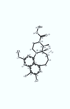 CCSc1nc2c3c(nc(Cl)c(F)c3n1)CC[C@@H](C)[C@H]1[C@H](C)N(C(=O)OC(C)(C)C)CCN21